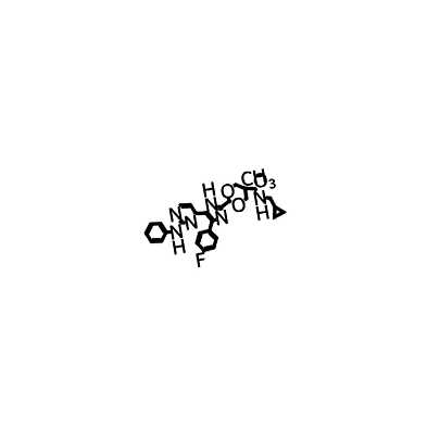 CC1(C(=O)NCC2CC2)COC(c2nc(-c3ccc(F)cc3)c(-c3ccnc(Nc4ccccc4)n3)[nH]2)OC1